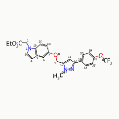 CCOC(=O)Cn1ccc2cc(OCc3cc(-c4ccc(OC(F)(F)F)cc4)nn3C)ccc21